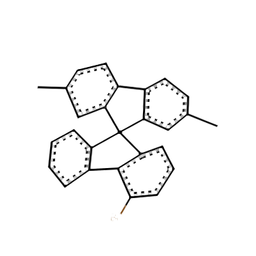 Cc1ccc2c(c1)C1(c3cc(C)ccc3-2)c2ccccc2-c2c(Br)cccc21